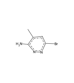 Cc1cc(Br)nnc1N